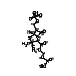 CC(C)(C)C(=O)OCOC(=O)[C@@H]1N2C(=O)[C@H](COS(C)(=O)=O)[C@H]2SC1(C)C